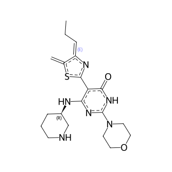 C=c1sc(-c2c(N[C@@H]3CCCNC3)nc(N3CCOCC3)[nH]c2=O)n/c1=C/CC